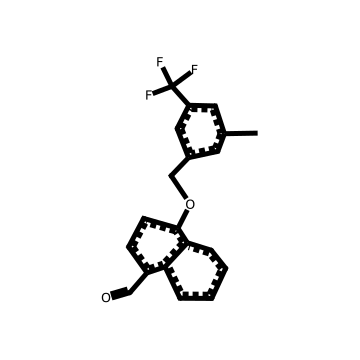 Cc1cc(COc2ccc(C=O)c3ccccc23)cc(C(F)(F)F)c1